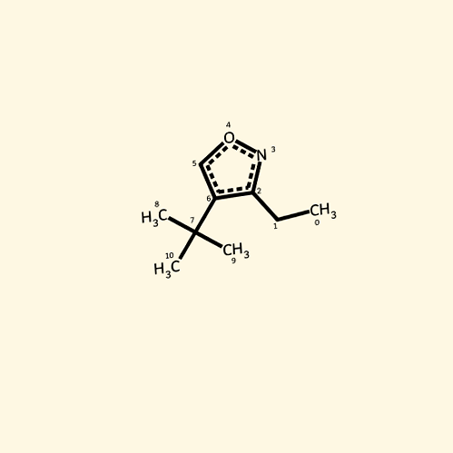 CCc1nocc1C(C)(C)C